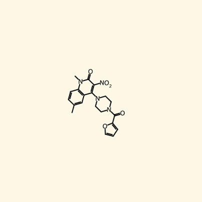 Cc1ccc2c(c1)c(N1CCN(C(=O)c3ccco3)CC1)c([N+](=O)[O-])c(=O)n2C